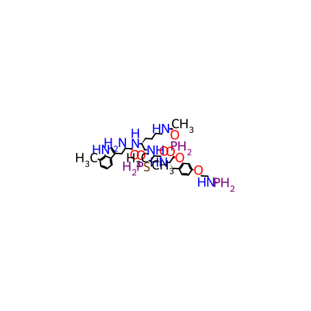 CC(=O)NCCCC[C@H](NC(=O)[C@@H](N)Cc1c[nH]c2c(C)cccc12)C(=O)N[C@H](C(=O)N[C@@H](Cc1ccc(OCCNP)cc1)C(=O)OP)C(C)(C)SP